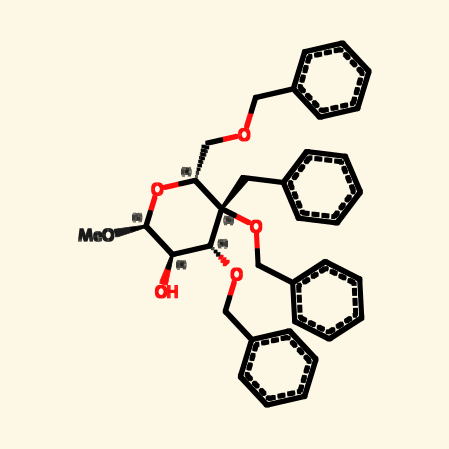 CO[C@H]1O[C@H](COCc2ccccc2)[C@](Cc2ccccc2)(OCc2ccccc2)[C@H](OCc2ccccc2)[C@H]1O